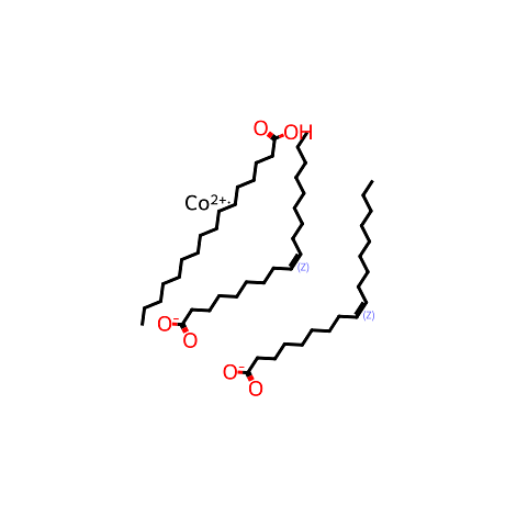 CCCCCCCC/C=C\CCCCCCCC(=O)[O-].CCCCCCCC/C=C\CCCCCCCC(=O)[O-].CCCCCCCCCCCCCCCC(=O)O.[Co+2]